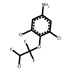 Nc1cc(Cl)c(OC(F)(F)C(F)Cl)c(Cl)c1